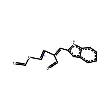 O=CO/C=C/C(C=O)=C/c1cc2ccccc2[nH]1